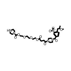 COC(C)Cc1ccc(C(=O)N2CCN(C(=O)CCC(=O)OCCOCCOCCOC(=O)N3CCNCC3)CC2)cc1[N+](=O)[O-]